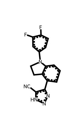 N#Cc1[nH]nnc1-c1cccc2c1CCN2c1ccc(F)c(F)c1